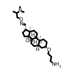 CC(CO/N=C/[C@H]1CC[C@]2(O)[C@@H]3CC[C@@H]4C[C@@H](OCCCN)CC[C@]4(C)[C@H]3CC[C@]12C)N(C)C